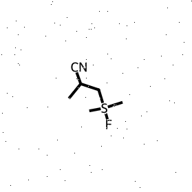 CC(C#N)CS(C)(C)F